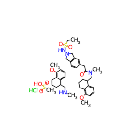 CCS(=O)(=O)NN1Cc2ccc(CC(=O)N(C)CC3CCCc4c(OC)cccc43)cc2C1.CNCC1CCCc2c(OC)cccc21.CS(=O)(=O)O.Cl